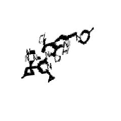 CC1CC(c2cc(C3CC3)nc(-n3cc(Cl)c4cc(CN5CCC[C@H](C)C5)[nH]c4c3=O)c2)(c2nncn2C)C1